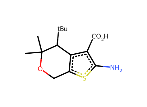 CC(C)(C)C1c2c(sc(N)c2C(=O)O)COC1(C)C